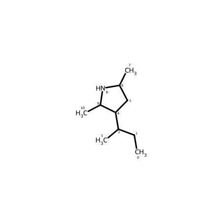 CCC(C)C1CC(C)NC1C